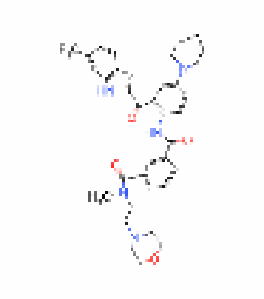 CN(CCN1CCOCC1)C(=O)c1cccc(C(=O)Nc2ccc(N3CCCCC3)cc2C(=O)c2cc3ccc(C(F)(F)F)cc3[nH]2)c1